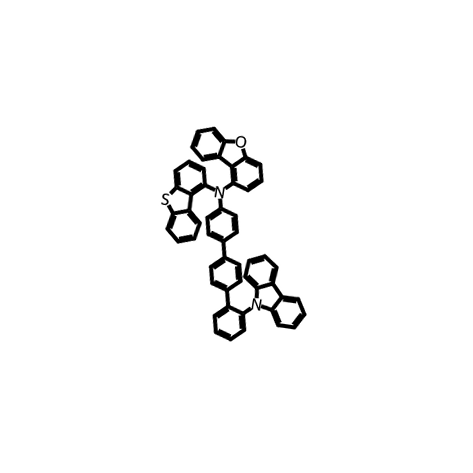 c1ccc(-n2c3ccccc3c3ccccc32)c(-c2ccc(-c3ccc(N(c4cccc5oc6ccccc6c45)c4cccc5sc6ccccc6c45)cc3)cc2)c1